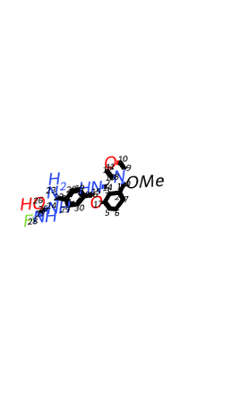 COC(C1CCCCC1)N1CCOC[C@H]1CNC(=O)c1ccc(C(N)NC(O)NF)cc1